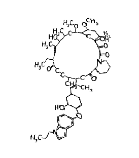 CCCn1ccc2cc(OC3CCC(C=C(C)C4CC(=O)C5CCCCN5C(=O)C(=O)C5(O)CC(C(OC)CC(C)C(O)/C(C)=C/C(CC)C(=O)CCC4C)C(OC)CC5C)CC3O)ccc21